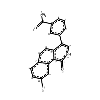 NC(=O)c1cccc(-c2c[nH]c(=O)c3c2ccc2ccc(Cl)cc23)c1